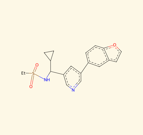 CCS(=O)(=O)NC(c1cncc(-c2ccc3occc3c2)c1)C1CC1